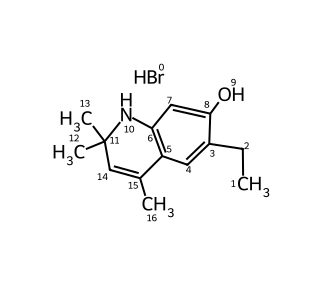 Br.CCc1cc2c(cc1O)NC(C)(C)C=C2C